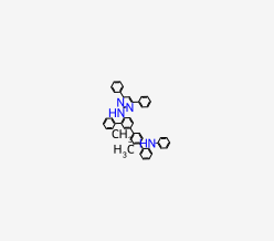 Cc1cc(-c2ccc(Nc3nc(-c4ccccc4)cc(-c4ccccc4)n3)c(-c3ccccc3C)c2)ccc1-c1ccccc1Nc1ccccc1